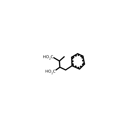 CC(C(=O)O)C(Cc1ccccc1)C(=O)O